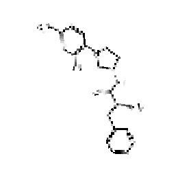 N#Cc1cc([N+](=O)[O-])ccc1N1CC[C@H](NC(=O)[C@@H](N)Cc2ccccc2)C1